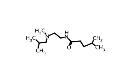 CC(C)CCC(=O)NCCN(C)CC(C)C